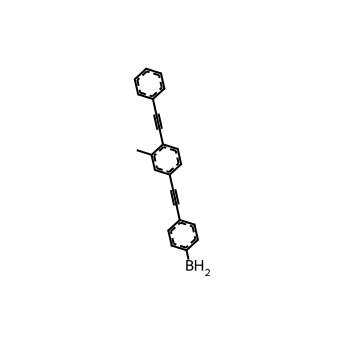 Bc1ccc(C#Cc2ccc(C#Cc3ccccc3)c(C)c2)cc1